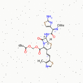 CO/N=C(/C(=O)N[C@@H]1C(=O)N2C(C(=O)OCOC(=O)C(C)(C)C)=C(/C=C/c3scnc3C)CS[C@H]12)c1csc(N)n1